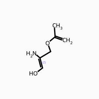 C=C(C)OC/C(N)=C/O